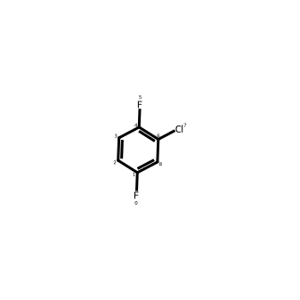 Fc1ccc(F)c(Cl)c1